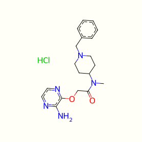 CN(C(=O)COc1nccnc1N)C1CCN(Cc2ccccc2)CC1.Cl